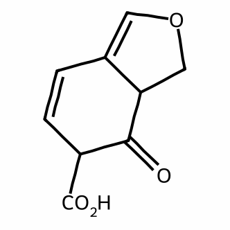 O=C(O)C1C=CC2=COCC2C1=O